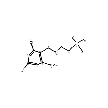 COc1cc(F)cc(Cl)c1[CH]OCC[Si](C)(C)C